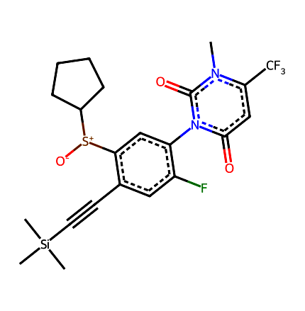 Cn1c(C(F)(F)F)cc(=O)n(-c2cc([S+]([O-])C3CCCC3)c(C#C[Si](C)(C)C)cc2F)c1=O